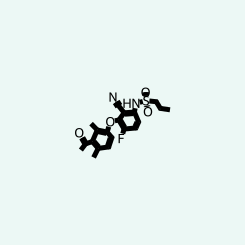 CCCS(=O)(=O)Nc1ccc(F)c(Oc2ccc(C)c(C(C)=O)c2C)c1C#N